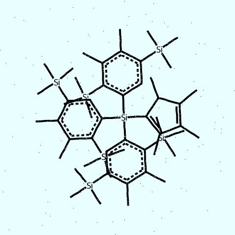 CC1=C(C)C(C)C([Si](c2cc([Si](C)(C)C)c(C)c(C)c2[Si](C)(C)C)(c2cc([Si](C)(C)C)c(C)c(C)c2[Si](C)(C)C)c2cc([Si](C)(C)C)c(C)c(C)c2[Si](C)(C)C)=C1C